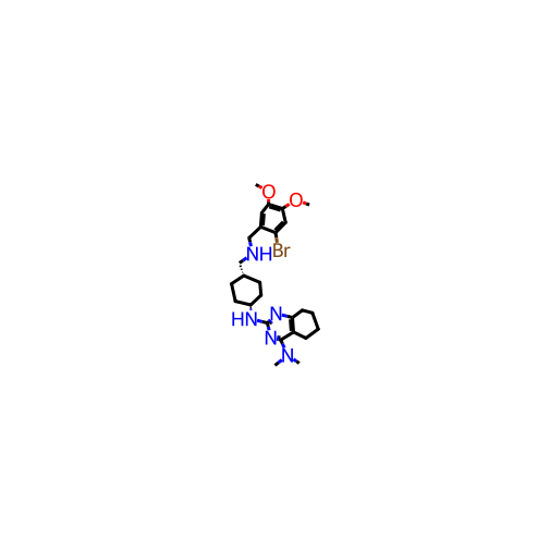 COc1cc(Br)c(CNC[C@H]2CC[C@@H](Nc3nc4c(c(N(C)C)n3)CCCC4)CC2)cc1OC